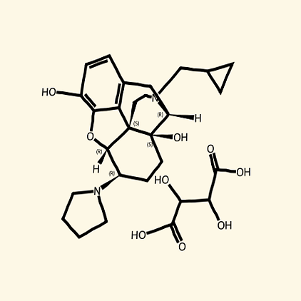 O=C(O)C(O)C(O)C(=O)O.Oc1ccc2c3c1O[C@H]1[C@H](N4CCCC4)CC[C@@]4(O)[C@@H](C2)N(CC2CC2)CC[C@]314